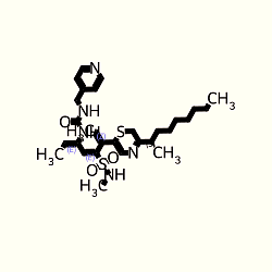 C\C=C(C1=CN=C([C@@H](C)CCCCCCC)CS1)/C(=C\C(=C/C)NC(=O)NCc1ccncc1)S(=O)(=O)NC